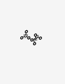 c1ccc(-c2nc(-c3ccccc3)nc(-c3ccc(-c4ccc5c(c4)c4c6c(sc4n5-c4ccccc4)c(-c4ccccc4)nc4ccccc46)cc3)n2)cc1